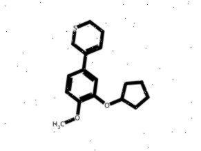 COc1ccc(C2=CCCSC2)cc1OC1CCCC1